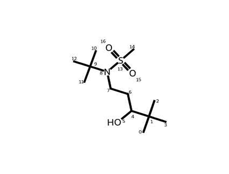 CC(C)(C)C(O)CCN(C(C)(C)C)S(C)(=O)=O